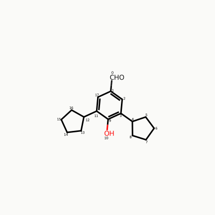 O=Cc1cc(C2CCCC2)c(O)c(C2CCCC2)c1